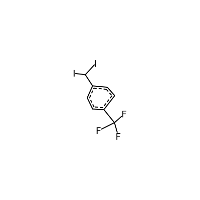 FC(F)(F)c1ccc(C(I)I)cc1